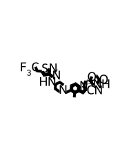 Cc1c(CN2CCC(Nc3ncnc4sc(CC(F)(F)F)cc34)CC2)ccc2c1cc(C#N)n2C[C@@H]1CNC(=O)CO1